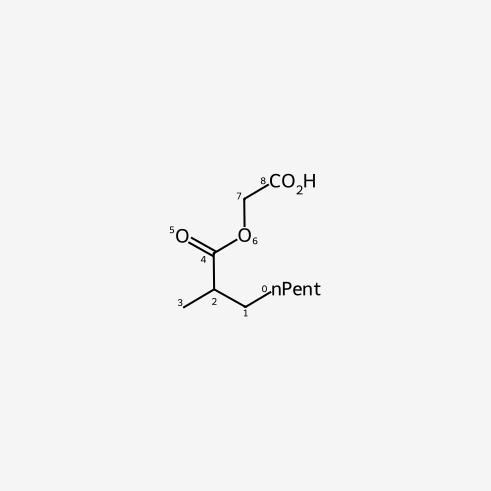 CCCCCCC(C)C(=O)OCC(=O)O